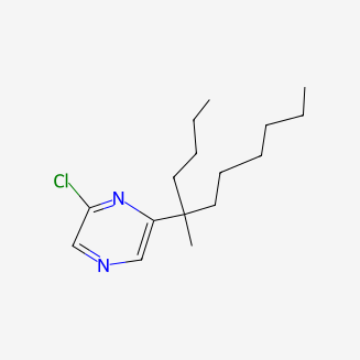 CCCCCCC(C)(CCCC)c1cncc(Cl)n1